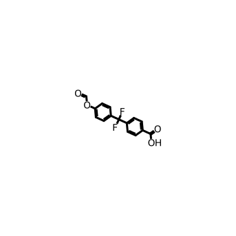 O=COc1ccc(C(F)(F)c2ccc(C(=O)O)cc2)cc1